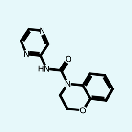 O=C(Nc1cnccn1)N1CCOc2ccccc21